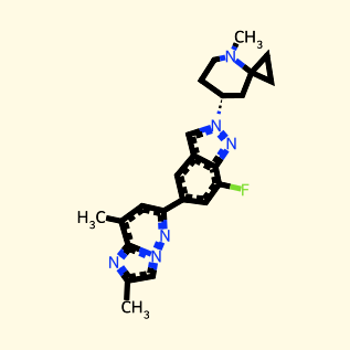 Cc1cn2nc(-c3cc(F)c4nn([C@@H]5CCN(C)C6(CC6)C5)cc4c3)cc(C)c2n1